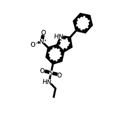 CCNS(=O)(=O)c1cc([N+](=O)[O-])c2[nH]c(-c3ccccc3)cc2c1